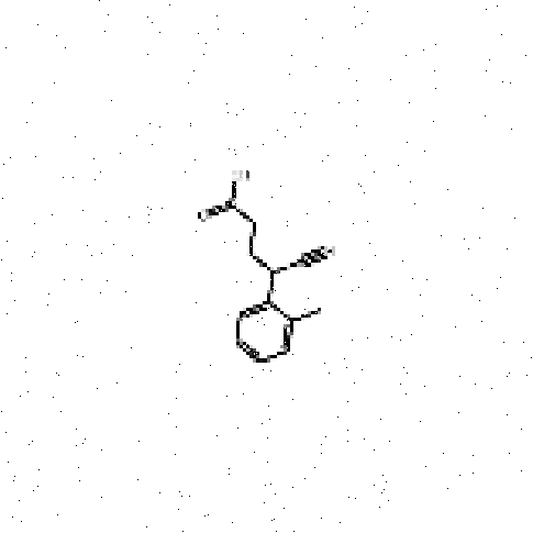 Cc1ccccc1C(C#N)CCC(=O)O